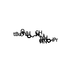 CC(C)c1ccc2[nH]c(C(=O)NCCN(C)CCCc3ccc(CNC(=O)OC(C)(C)C)cc3)cc2c1